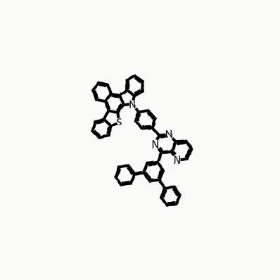 c1ccc(-c2cc(-c3ccccc3)cc(-c3nc(-c4ccc(-n5c6ccccc6c6c7ccccc7c7c8ccccc8sc7c65)cc4)nc4cccnc34)c2)cc1